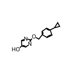 Oc1cnc(OCc2ccc(C3CC3)cc2)nc1